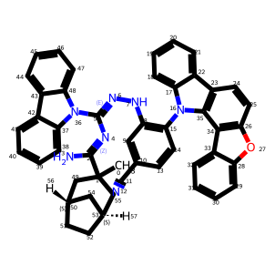 CC1(/C(N)=N/C(=N\Nc2cc(C#N)ccc2-n2c3ccccc3c3ccc4oc5ccccc5c4c32)n2c3ccccc3c3ccccc32)C[C@H]2CC[C@@H](C2)C1